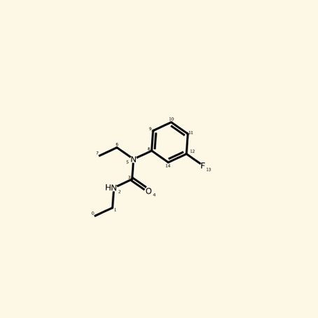 CCNC(=O)N(CC)c1cccc(F)c1